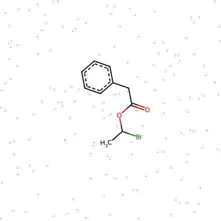 CC(Br)OC(=O)Cc1ccccc1